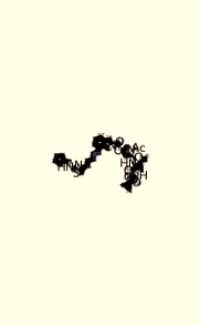 C=C[C@@H]1C[C@]1(NC(=O)[C@@H]1C[C@@H](OC(=O)N2Cc3cccc(/C=C/CCCc4csc(NCC5CCCC5)n4)c3C2)CN1C(C)=O)C(=O)NS(=O)(=O)C1CC1